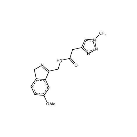 COc1ccc2c(c1)C(CNC(=O)Cc1cn(C)nn1)=NC2